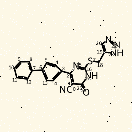 N#Cc1c(-c2ccc(-c3ccccc3)cc2)nc(SCc2cnn[nH]2)[nH]c1=O